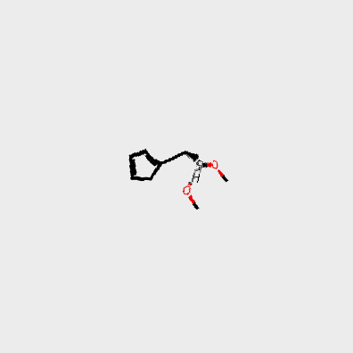 CO[SiH](CC1=CC=CC1)OC